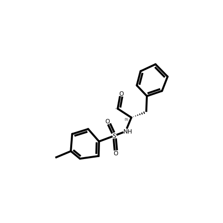 Cc1ccc(S(=O)(=O)N[C@H]([C]=O)Cc2ccccc2)cc1